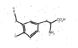 NC(Cc1ccc(Cl)c(CF)c1)C(=O)O